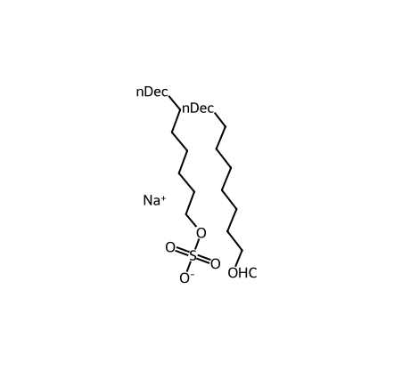 CCCCCCCCCCCCCCCCCC=O.CCCCCCCCCCCCCCCCOS(=O)(=O)[O-].[Na+]